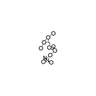 C(=C1c2cc(-c3ccccc3)ccc2-c2ccc(-c3ccccc3)cc21)c1cccc2c1oc1cccc(-c3ccc(-c4nc5ccccc5n4-c4ccccc4)cc3)c12